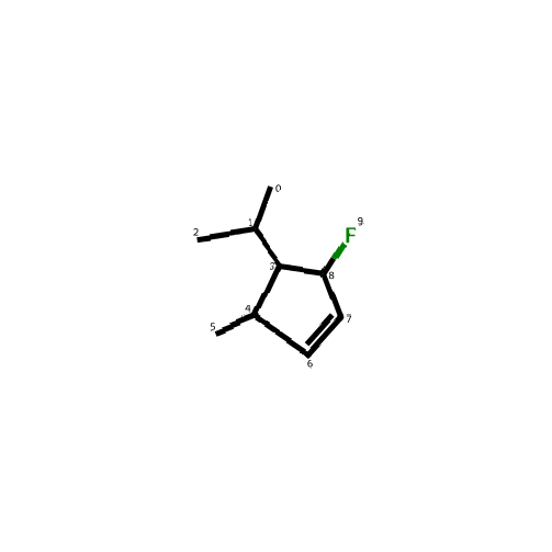 CC(C)C1C(C)C=CC1F